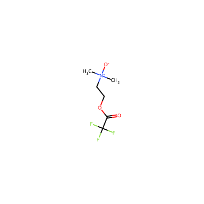 C[N+](C)([O-])CCOC(=O)C(F)(F)F